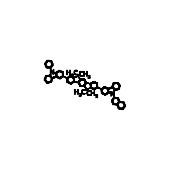 CC1(C)c2cc(-c3ccc4c(c3)c3ccccc3n4-c3ccccc3)ccc2-c2cc3c(cc21)-c1ccc(-c2ccc4c(c2)c2ccccc2n4-c2ccc4ccccc4c2)cc1C3(C)C